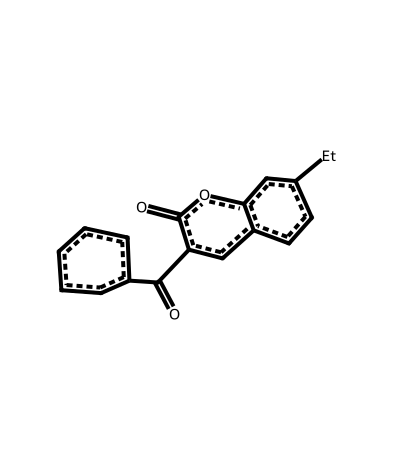 CCc1ccc2cc(C(=O)c3ccccc3)c(=O)oc2c1